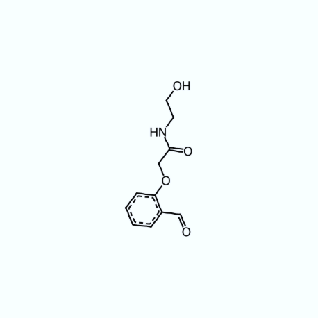 O=Cc1ccccc1OCC(=O)NCCO